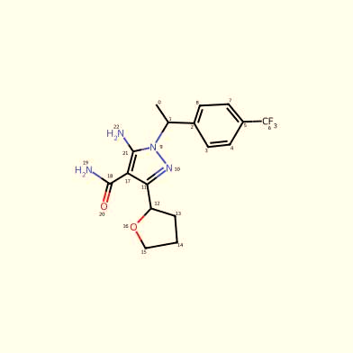 CC(c1ccc(C(F)(F)F)cc1)n1nc(C2CCCO2)c(C(N)=O)c1N